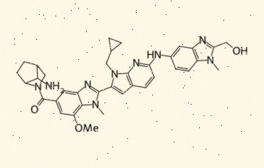 COc1cc(C(=O)N2CC3CCC2C3N)cc2nc(-c3cc4ccc(Nc5ccc6c(c5)nc(CO)n6C)nc4n3CC3CC3)n(C)c12